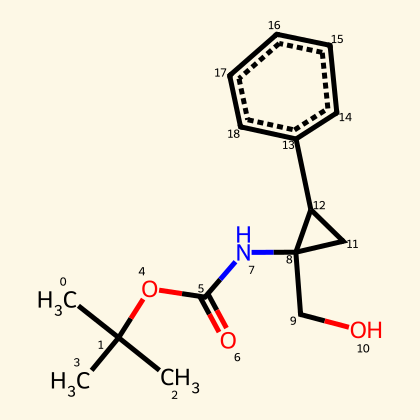 CC(C)(C)OC(=O)NC1(CO)CC1c1ccccc1